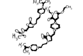 CC(C)N1CCN(CCCN2CC(COS(C)(=O)=O)OC2=O)CC1.CCOC(=O)CC(C(=O)OCC)N1CCN(CC2CN(CCCN3CCN(C(C)C)CC3)C(=O)O2)CC1